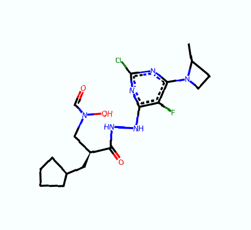 CC1CCN1c1nc(Cl)nc(NNC(=O)[C@@H](CC2CCCC2)CN(O)C=O)c1F